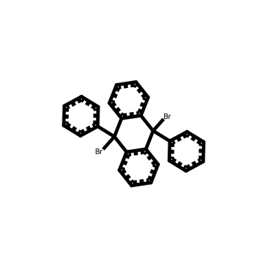 BrC1(c2ccccc2)c2ccccc2C(Br)(c2ccccc2)c2ccccc21